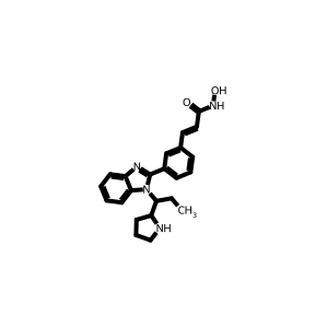 CCC(C1CCCN1)n1c(-c2cccc(C=CC(=O)NO)c2)nc2ccccc21